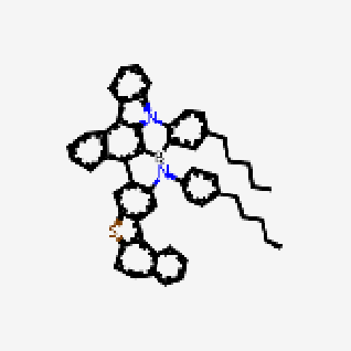 CCCCCc1ccc(N2B3c4cc(CCCCC)ccc4-n4c5ccccc5c5c6ccccc6c(c3c54)-c3cc4sc5ccc6ccccc6c5c4cc32)cc1